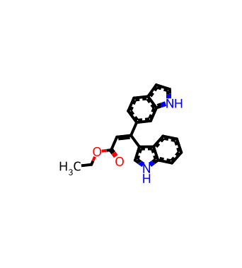 CCOC(=O)/C=C(/c1ccc2cc[nH]c2c1)c1c[nH]c2ccccc12